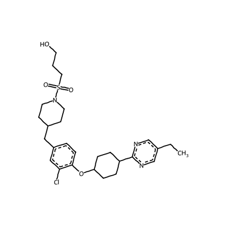 CCc1cnc(C2CCC(Oc3ccc(CC4CCN(S(=O)(=O)CCCO)CC4)cc3Cl)CC2)nc1